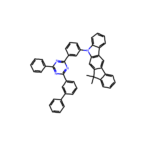 CC1(C)c2ccccc2-c2cc3c4ccccc4n(-c4cccc(-c5nc(-c6ccccc6)nc(-c6cccc(-c7ccccc7)c6)n5)c4)c3cc21